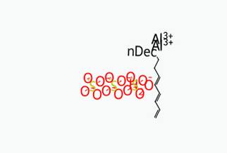 C=CC=CC=CCCCCCCCCCCCC.O.O=S(=O)([O-])[O-].O=S(=O)([O-])[O-].O=S(=O)([O-])[O-].[Al+3].[Al+3]